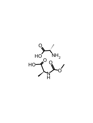 COC(=O)N[C@@H](C)C(=O)O.C[C@H](N)C(=O)O